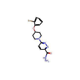 NNC(=O)c1ccc(N2CCC(Oc3ccccc3Br)CC2)nn1